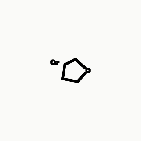 C1CCOC1.[Co]